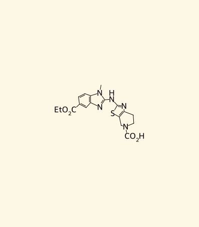 CCOC(=O)c1ccc2c(c1)nc(Nc1nc3c(s1)CN(C(=O)O)CC3)n2C